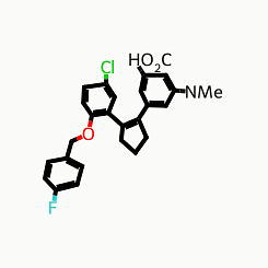 CNc1cc(C(=O)O)cc(C2=C(c3cc(Cl)ccc3OCc3ccc(F)cc3)CCC2)c1